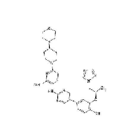 COc1nc(N2CCC(N3CCOCC3)CC2)ccc1Nc1ncc(-c2ccc(C#N)c(OC(C)Cn3cncn3)c2)cn1